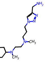 CN(CCCn1cc(CN)nn1)CCN(C)C1CCCCC1